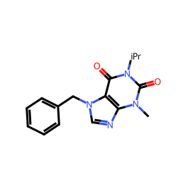 CC(C)n1c(=O)c2c(ncn2Cc2ccccc2)n(C)c1=O